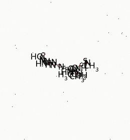 Cc1ncsc1-c1ccc(CNC(=O)[C@@H]2C[C@@H](O)CN2C(=O)[C@@H](NC(=O)C2CC3(C2)CC(N2CCC(c4cnc(N5CCN6c7cc(-c8ccccc8O)nnc7NC[C@H]6C5)nc4)CC2)C3)C(C)(C)C)cc1